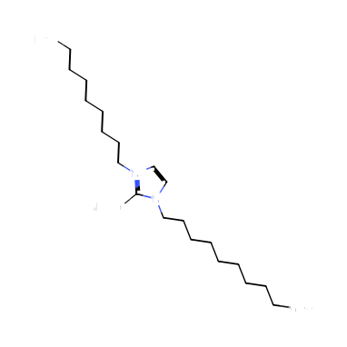 CCCCCCCCCCCCCCCCCCCn1cc[n+](CCCCCCCCCCCCCCCCCC)c1CCCCC